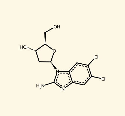 Nc1nc2cc(Cl)c(Cl)cc2n1[C@H]1C[C@H](O)[C@@H](CO)O1